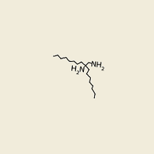 CCCCCCCCC(N)(CN)CCCCCCCC